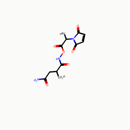 CCCCC(C(=O)ONC(=O)C(CC(N)=O)S(=O)(=O)O)N1C(=O)C=CC1=O